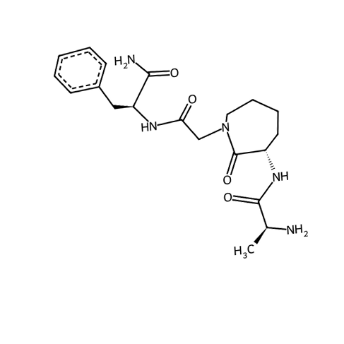 C[C@H](N)C(=O)N[C@H]1CCCCN(CC(=O)N[C@@H](Cc2ccccc2)C(N)=O)C1=O